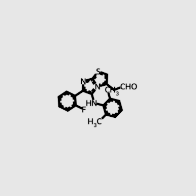 Cc1cccc(C)c1Nc1c(-c2ccccc2F)nc2scc(CC=O)n12